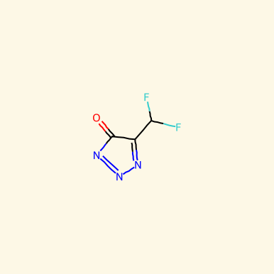 O=C1N=NN=C1C(F)F